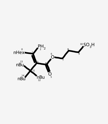 CCCCCCC(P)=C(C(=O)OCCCS(=O)(=O)O)C(CCCC)(CCCC)CCCC